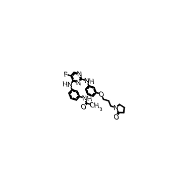 CC(=O)Nc1cccc(Nc2nc(Nc3cccc(OCCCN4CCCC4=O)c3)ncc2F)c1